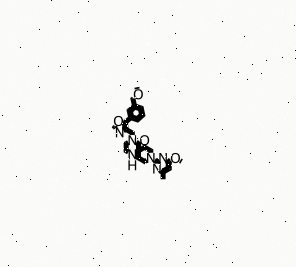 COCc1cccc(-c2ocnc2CN2CCNC3(CCN(c4nc(C)cc(OC)n4)CC3)C2=O)c1